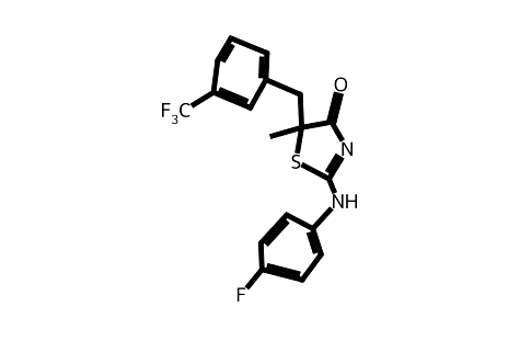 CC1(Cc2cccc(C(F)(F)F)c2)SC(Nc2ccc(F)cc2)=NC1=O